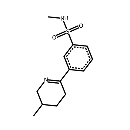 CNS(=O)(=O)c1cccc(C2=NCC(C)CC2)c1